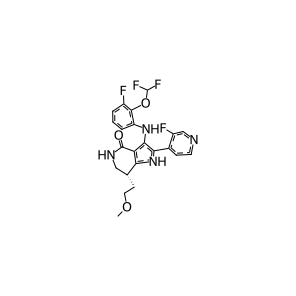 COCC[C@@H]1CNC(=O)c2c1[nH]c(-c1ccncc1F)c2Nc1cccc(F)c1OC(F)F